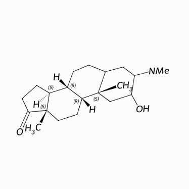 CNC1CC2CC[C@@H]3[C@@H](CC[C@]4(C)C(=O)CC[C@@H]34)[C@@]2(C)CC1O